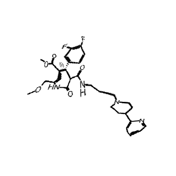 COCC1=C(C(=O)OC)[C@H](c2ccc(F)c(F)c2)C(C(=O)NCCCN2CCC(c3ccccn3)CC2)C(=O)N1